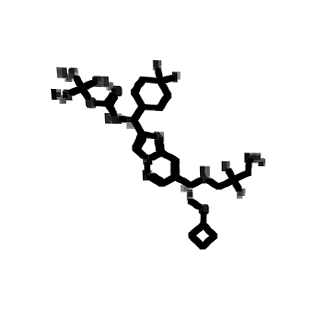 CC(C)(C)OC(=O)N[C@H](c1cn2ncc([C@@H](COC3CCC3)NCC(F)(F)CN)cc2n1)C1CCC(F)(F)CC1